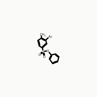 CC(=O)c1cc(S(=O)(=O)Oc2ccccc2)ccc1C